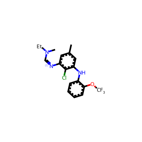 CCN(C)/C=N\c1cc(C)cc(Nc2ccccc2OC(F)(F)F)c1Cl